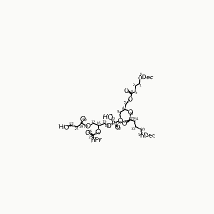 CCCCCCCCCCCCCC(=O)OC[C@H](COP(=O)(O)OCC(COC(=O)CCO)OC(=O)CCC)OC(=O)CCCCCCCCCCCCC